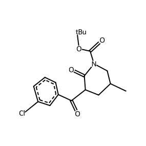 CC1CC(C(=O)c2cccc(Cl)c2)C(=O)N(C(=O)OC(C)(C)C)C1